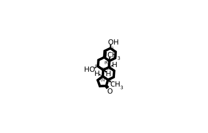 C[C@]12CC[C@H](O)C=C1C[C@@H](O)[C@@H]1[C@@H]2CC[C@]2(C)C(=O)CC[C@@H]12